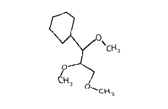 COCC(OC)C(OC)C1CCCCC1